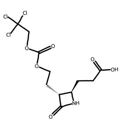 O=C(O)CC[C@H]1NC(=O)[C@@H]1CCOC(=O)OCC(Cl)(Cl)Cl